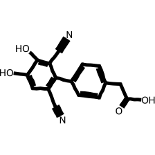 N#Cc1cc(O)c(O)c(C#N)c1-c1ccc(CC(=O)O)cc1